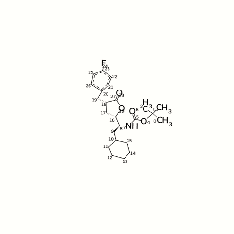 CC(C)(C)OC(=O)N[C@@H](CC1CCCCC1)[C@@H]1C[C@H](Cc2ccc(F)cc2)C(=O)O1